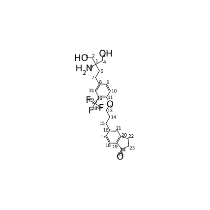 NC(CO)(CO)CCc1ccc(OCCCc2ccc3c(c2)CCC3=O)c(C(F)(F)F)c1